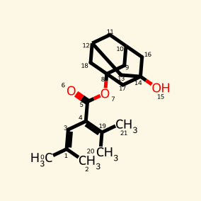 CC(C)=CC(C(=O)OC12CC3CC(CC(O)(C3)C1)C2)=C(C)C